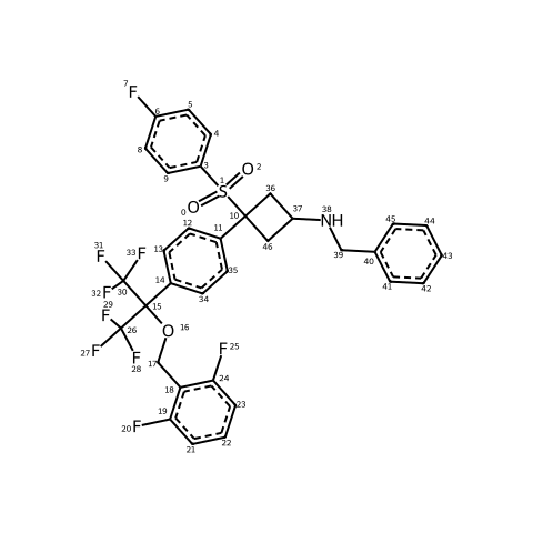 O=S(=O)(c1ccc(F)cc1)C1(c2ccc(C(OCc3c(F)cccc3F)(C(F)(F)F)C(F)(F)F)cc2)CC(NCc2ccccc2)C1